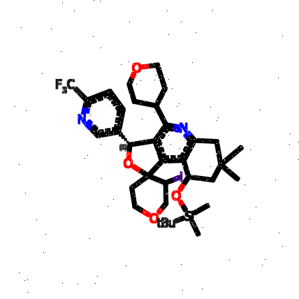 CC1(C)Cc2nc(C3CCOCC3)c3c(c2C(O[Si](C)(C)C(C)(C)C)C1)C1(CCOCC1I)O[C@@H]3c1ccc(C(F)(F)F)nc1